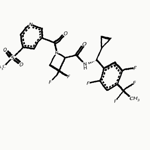 CC(F)(F)c1cc(F)c([C@H](NC(=O)C2N(C(=O)c3cncc(S(C)(=O)=O)c3)CC2(F)F)C2CC2)cc1F